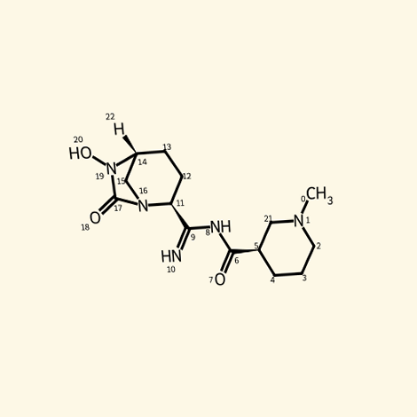 CN1CCC[C@@H](C(=O)NC(=N)[C@@H]2CC[C@@H]3CN2C(=O)N3O)C1